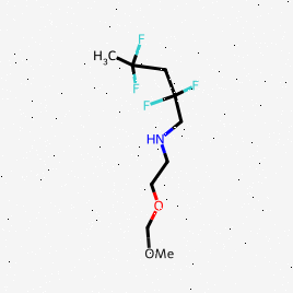 COCOCCNCC(F)(F)CC(C)(F)F